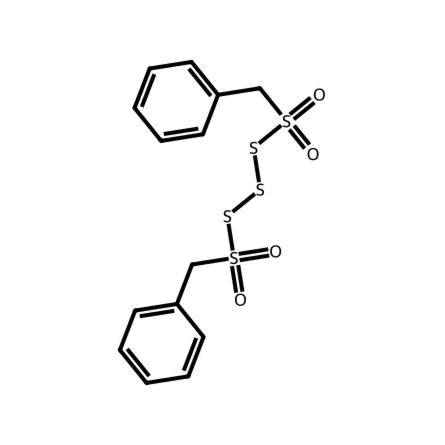 O=S(=O)(Cc1ccccc1)SSSS(=O)(=O)Cc1ccccc1